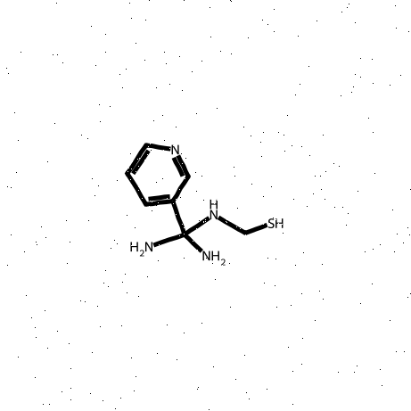 NC(N)(NCS)c1cccnc1